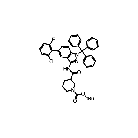 CC(C)(C)OC(=O)N1CCCC(C(=O)Nc2nn(C(c3ccccc3)(c3ccccc3)c3ccccc3)c3ccc(-c4c(F)cccc4Cl)cc23)C1